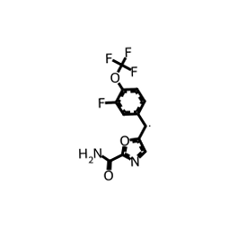 NC(=O)c1ncc([CH]c2ccc(OC(F)(F)F)c(F)c2)o1